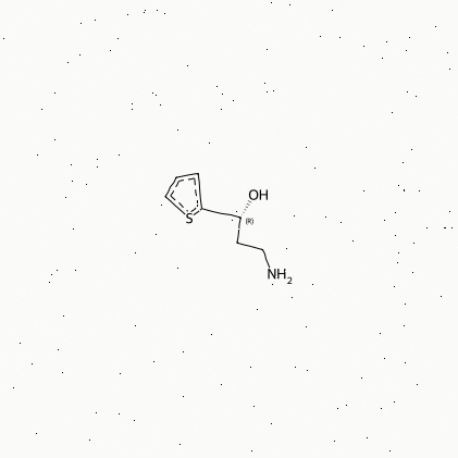 NCC[C@@H](O)c1cccs1